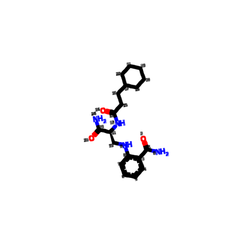 NC(=O)c1ccccc1NC[C@H](NC(=O)[CH]CC1CCCCC1)C(N)=O